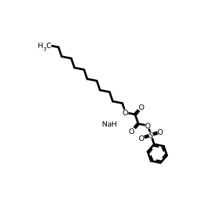 CCCCCCCCCCCCOC(=O)C(=O)OS(=O)(=O)c1ccccc1.[NaH]